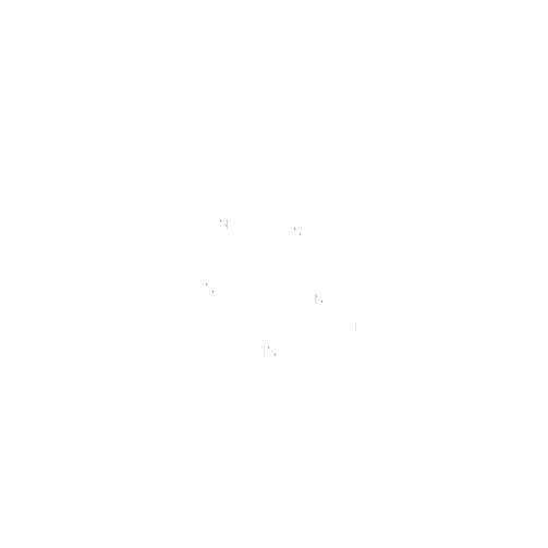 Fc1nc(Nc2ccccc2Cl)c2ncn(C3CCCCO3)c2n1